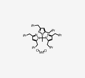 CC(C)Cc1cc(CC(C)C)n(C(C)(n2nc(CC(C)C)cc2CC(C)C)n2nc(CC(C)C)cc2CC(C)C)n1.[Cl][Mn][Cl]